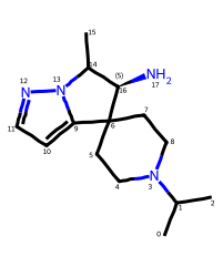 CC(C)N1CCC2(CC1)c1ccnn1C(C)[C@H]2N